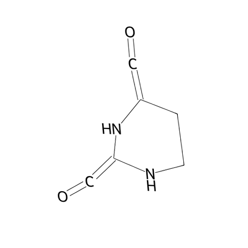 O=C=C1CCNC(=C=O)N1